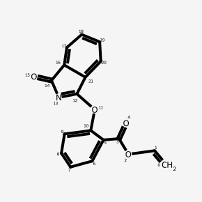 C=COC(=O)c1ccccc1OC1=NC(=O)c2ccccc21